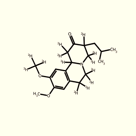 [2H]C([2H])([2H])Oc1cc2c(cc1OC)C([2H])([2H])C([2H])([2H])N1C([2H])([2H])C([2H])(CC(C)C)C(=O)C([2H])([2H])C21[2H]